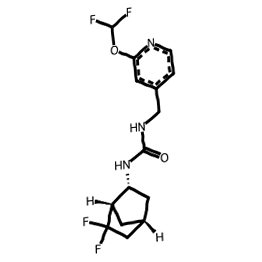 O=C(NCc1ccnc(OC(F)F)c1)N[C@@H]1C[C@H]2C[C@@H]1C(F)(F)C2